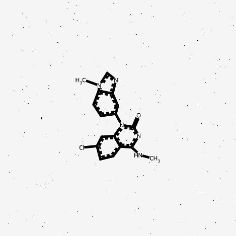 CNc1nc(=O)n(-c2ccc3c(c2)ncn3C)c2cc(Cl)ccc12